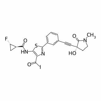 CN1CC[C@@](O)(C#Cc2cccc(-c3nc(C(=O)I)c(NC(=O)[C@H]4C[C@@H]4F)s3)c2)C1=O